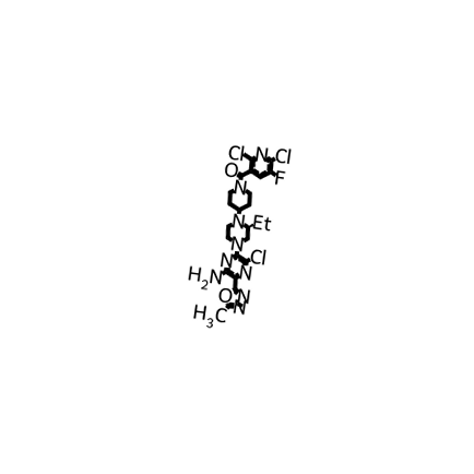 CC[C@H]1CN(c2nc(N)c(-c3nnc(C)o3)nc2Cl)CCN1C1CCN(C(=O)c2cc(F)c(Cl)nc2Cl)CC1